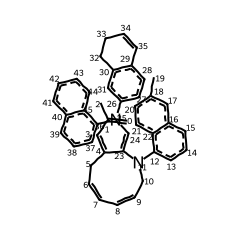 C=C(C)/C=C1/C/C=C\C=C/CN(c2cccc3cc(C)ccc23)/C1=C/N(c1ccc2c(c1)CCC=C2)c1cccc2ccccc12